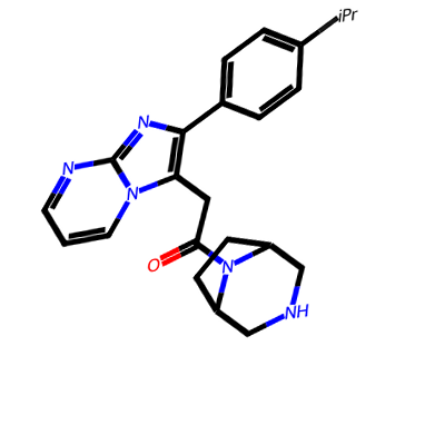 CC(C)c1ccc(-c2nc3ncccn3c2CC(=O)N2C3CCC2CNC3)cc1